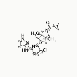 C[C@@]12CN(C(=O)C3CC3)C[C@]1(C)CN(c1nc(Nc3cc[nH]n3)ncc1Cl)C2